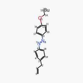 C=CCc1ccc(/N=N/c2ccc(OCC(C)CC)cc2)cc1